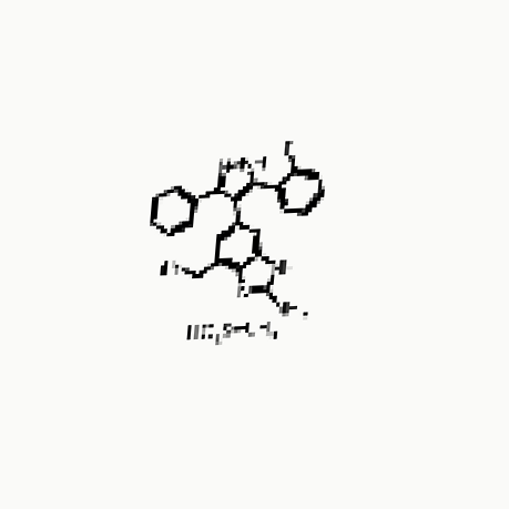 CC(C)Cc1cc(-c2c(-c3ccccc3)n[nH]c2-c2ccccc2F)cc2[nH]c(N)nc12.CS(=O)(=O)O